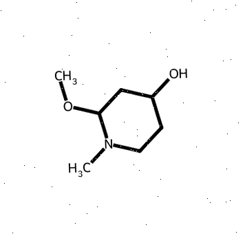 COC1CC(O)CCN1C